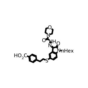 CCCCCCN1C(=O)/C(=N\NC(=O)N2CCOCC2)c2cc(SCCc3ccc(C(=O)O)cc3)ccc21